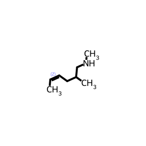 C/C=C\CC(C)CNC